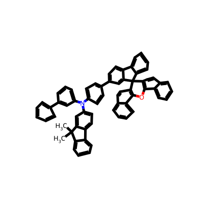 CC1(C)c2ccccc2-c2ccc(N(c3ccc(-c4ccc5c(c4)C4(c6ccccc6-5)c5ccc6ccccc6c5Oc5c4ccc4ccccc54)cc3)c3cccc(-c4ccccc4)c3)cc21